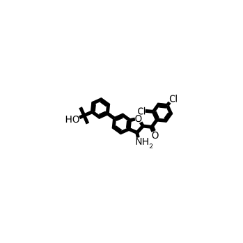 CC(C)(O)c1cccc(-c2ccc3c(c2)OC(C(=O)c2ccc(Cl)cc2Cl)C3N)c1